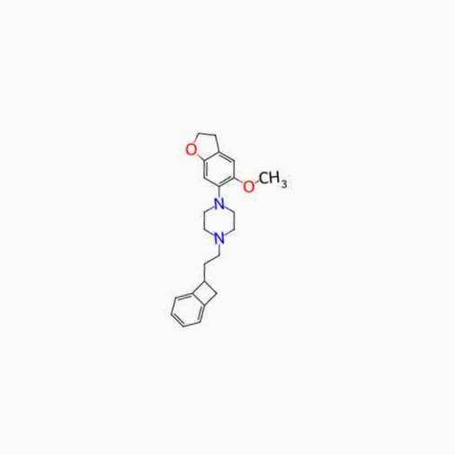 COc1cc2c(cc1N1CCN(CCC3Cc4ccccc43)CC1)OCC2